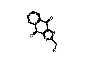 O=C1c2ccccc2C(=O)c2oc(CBr)nc21